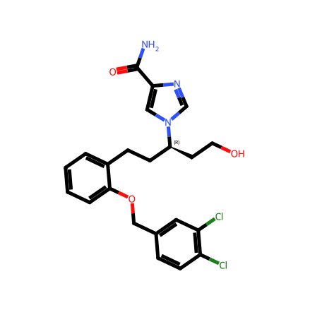 NC(=O)c1cn([C@@H](CCO)CCc2ccccc2OCc2ccc(Cl)c(Cl)c2)cn1